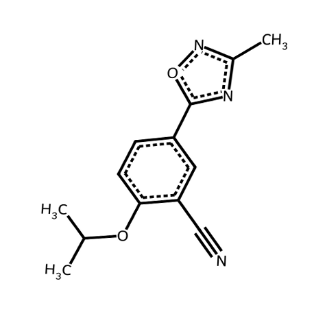 Cc1noc(-c2ccc(OC(C)C)c(C#N)c2)n1